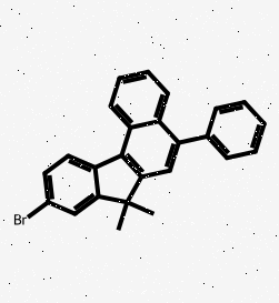 CC1(C)c2cc(Br)ccc2-c2c1cc(-c1ccccc1)c1ccccc21